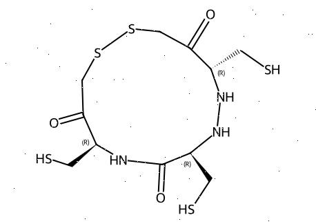 O=C1CSSCC(=O)[C@H](CS)NC(=O)[C@H](CS)NN[C@H]1CS